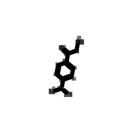 CCN(CC)c1ccc(C(=O)CO)cc1